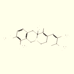 CCC1=C(/C=C(/OC)C(C)OC)CCN2Cc3c(ccc(OC)c3OC)[C@H](C)C12N